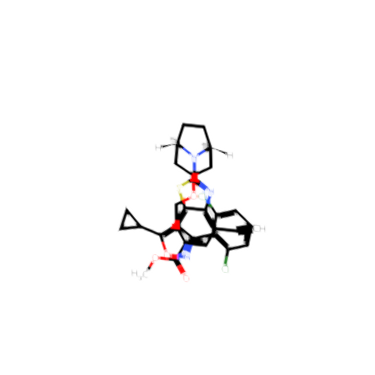 C#Cc1cc(C(=O)OC)cc2sc(N3[C@@H]4CC[C@H]3CC(OCc3c(-c5c(Cl)cccc5Cl)noc3C3CC3)C4)nc12